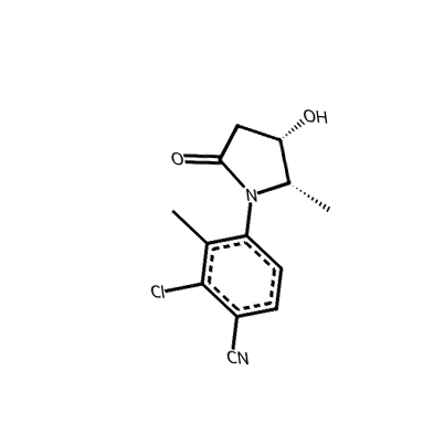 Cc1c(N2C(=O)C[C@H](O)[C@@H]2C)ccc(C#N)c1Cl